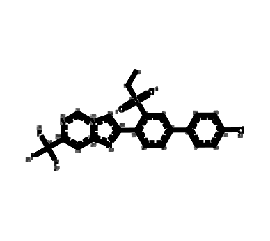 CCS(=O)(=O)c1cc(-c2ccc(Cl)cc2)ccc1-c1cn2cnc(C(F)(F)F)cc2n1